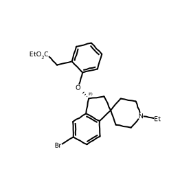 CCOC(=O)Cc1ccccc1O[C@@H]1CC2(CCN(CC)CC2)c2ccc(Br)cc21